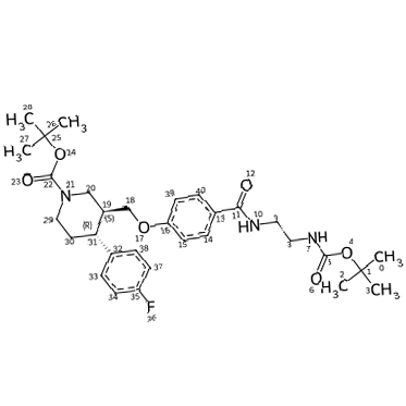 CC(C)(C)OC(=O)NCCNC(=O)c1ccc(OC[C@@H]2CN(C(=O)OC(C)(C)C)CC[C@H]2c2ccc(F)cc2)cc1